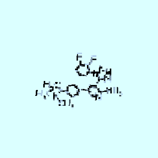 CC(c1ccc(-c2cnc(N)c(-c3nnnn3-c3cccc(F)c3F)c2)cc1)N(C)C